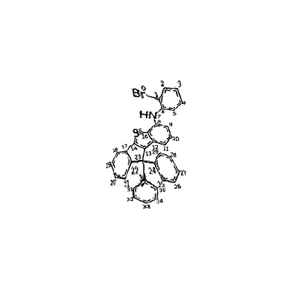 Brc1ccccc1Nc1cccc2c3c(sc12)-c1ccccc1C3(c1ccccc1)c1ccccc1